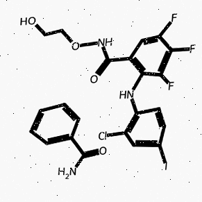 NC(=O)c1ccccc1.O=C(NOCCO)c1cc(F)c(F)c(F)c1Nc1ccc(I)cc1Cl